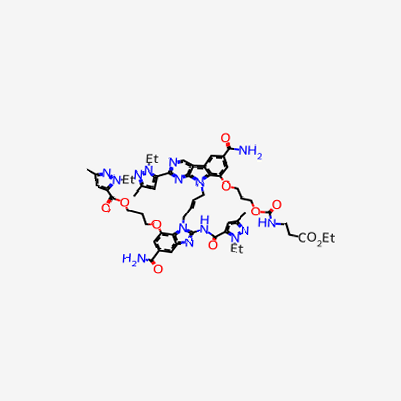 CCOC(=O)CCNC(=O)OCCCOc1cc(C(N)=O)cc2c3cnc(-c4cc(C)nn4CC)nc3n(C/C=C/Cn3c(NC(=O)c4cc(C)nn4CC)nc4cc(C(N)=O)cc(OCCCOC(=O)c5cc(C)nn5CC)c43)c12